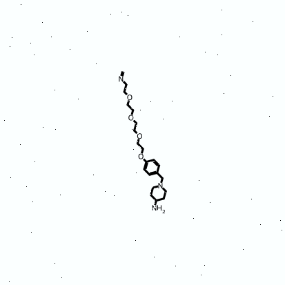 C=NCCOCCOCCOCCOc1ccc(CN2CCC(N)CC2)cc1